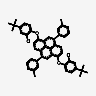 Cc1cccc(-c2cc3c(Oc4ccc(C(C)(C)C)cc4Cl)ccc4c(-c5cccc(C)c5)cc5c(Oc6ccc(C(C)(C)C)cc6Cl)ccc2c5c34)c1